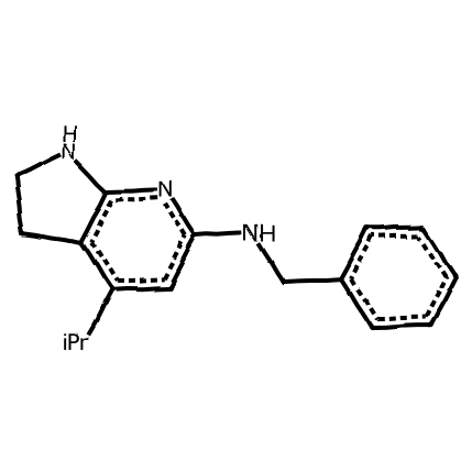 CC(C)c1cc(NCc2ccccc2)nc2c1CCN2